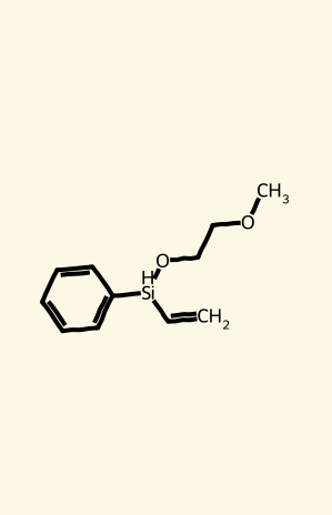 C=C[SiH](OCCOC)c1ccccc1